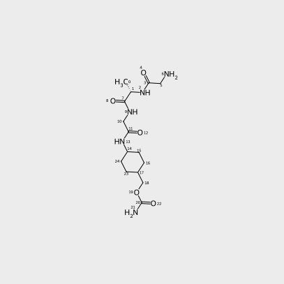 C[C@H](NC(=O)CN)C(=O)NCC(=O)NC1CCC(COC(N)=O)CC1